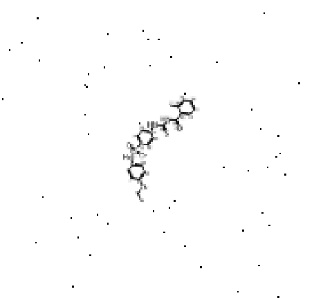 CCOc1ccc(NS(=O)(=O)c2ccc(NC(=S)NC(=O)c3ccccc3C)cc2)cc1